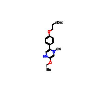 CCCCCCCCCCCCOc1ccc(C2=CNC(OC[C@@H](C)CC)=CN2C#N)cc1